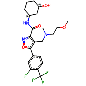 COCCN(C)Cc1c(C(=O)N[C@H]2CCC[C@@H](O)C2)noc1-c1ccc(C(F)(F)F)c(F)c1